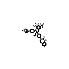 CN1CC2CC1CN2C1CCN(C(=O)C(CC=O)(Cc2cc(Cl)c(N)c(C(F)(F)F)c2)N2CCC(N3CCc4ccccc4NC3=O)CC2)CC1